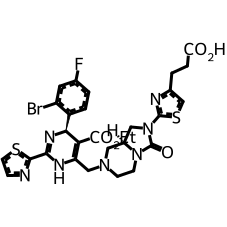 CCOC(=O)C1=C(CN2CCN3C(=O)N(c4nc(CCC(=O)O)cs4)C[C@@H]3C2)NC(c2nccs2)=N[C@H]1c1ccc(F)cc1Br